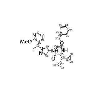 COc1ncccc1[C@H](C)n1cc(NC(=O)C(NC(=O)OCc2ccccc2)C(C2CC2)C2CC2)cn1